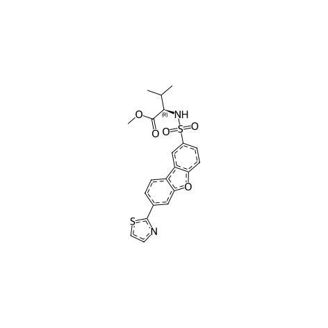 COC(=O)[C@H](NS(=O)(=O)c1ccc2oc3cc(-c4nccs4)ccc3c2c1)C(C)C